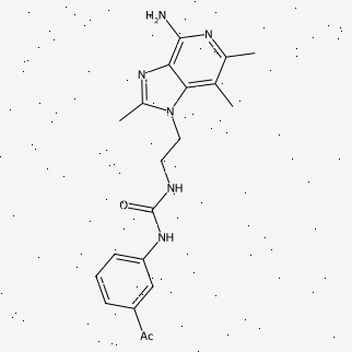 CC(=O)c1cccc(NC(=O)NCCn2c(C)nc3c(N)nc(C)c(C)c32)c1